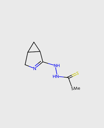 CSC(=S)NNC1=NCC2CC12